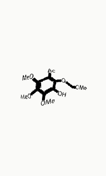 COCOc1c(O)c(OC)c(OC)c(OC)c1C(C)=O